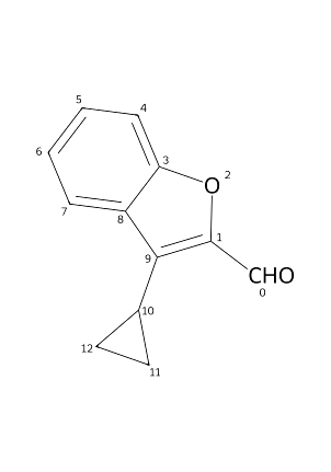 O=Cc1oc2ccccc2c1C1CC1